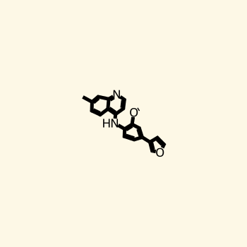 COc1cc(-c2ccoc2)ccc1Nc1ccnc2cc(C)ccc12